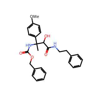 COc1ccc(C(C)(NC(=O)OCc2ccccc2)C(O)C(=O)NCCc2ccccc2)cc1